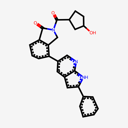 O=C1c2cccc(-c3cnc4[nH]c(-c5ccccc5)cc4c3)c2CN1C(=O)C1CCC(O)C1